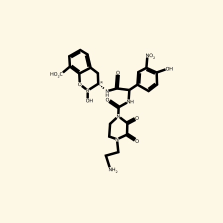 NCCN1CCN(C(=O)NC(C(=O)N[C@H]2Cc3cccc(C(=O)O)c3OB2O)c2ccc(O)c([N+](=O)[O-])c2)C(=O)C1=O